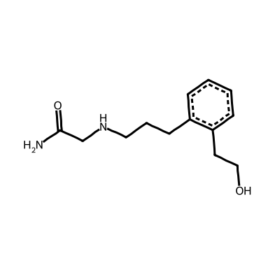 NC(=O)CNCCCc1ccccc1CCO